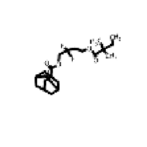 CCC(C)(C)C(=O)OCCC(F)(F)COC(=O)C12CC3CC(C1)C(=O)C(C3)C2